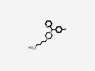 O=S(=O)(O)CCCCN1CCN(C(c2ccc(F)cc2)c2ccccn2)CC1